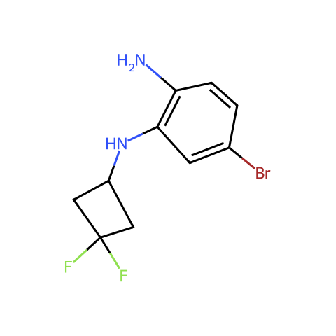 Nc1ccc(Br)cc1NC1CC(F)(F)C1